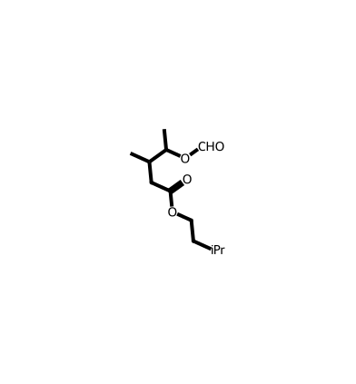 CC(C)CCOC(=O)CC(C)C(C)OC=O